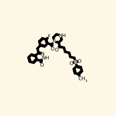 Cc1ccc(S(=O)(=O)CCCCCC(=O)C2CNCCN2C(=O)c2cc(Cc3n[nH]c(=O)c4ccccc34)ccc2F)cc1